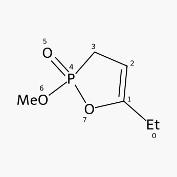 CCC1=CCP(=O)(OC)O1